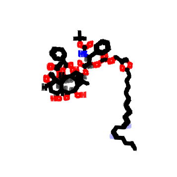 CCCC/C=C\C/C=C\CCCCCCCCC1OCC(COC(=O)O[C@@H](C(=O)O[C@H]2C[C@@]3(O)[C@@H](OC(=O)c4ccccc4)[C@@H]4[C@]5(OC(C)=O)CO[C@@H]5C[C@H](O)[C@@]4(C)C(=O)[C@H](O)C(=C2C)C3(C)C)[C@@H](NC(=O)OC(C)(C)C)c2ccccc2)O1